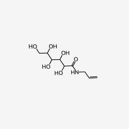 C=CCNC(=O)C(O)C(O)C(O)C(O)CO